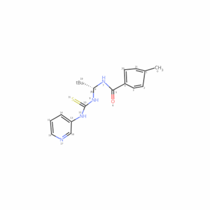 Cc1ccc(C(=O)N[C@H](NC(=S)Nc2cccnc2)C(C)(C)C)cc1